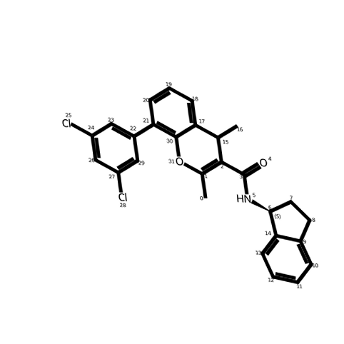 CC1=C(C(=O)N[C@H]2CCc3ccccc32)C(C)c2cccc(-c3cc(Cl)cc(Cl)c3)c2O1